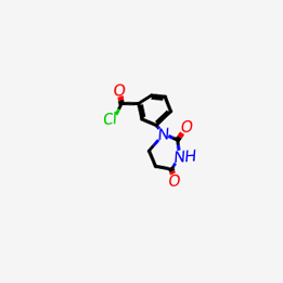 O=C1CCN(c2cccc(C(=O)Cl)c2)C(=O)N1